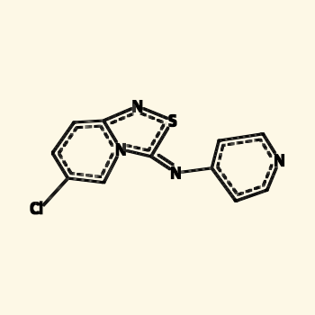 Clc1ccc2nsc(=Nc3ccncc3)n2c1